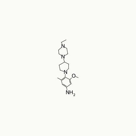 CCN1CCN(C2CCN(c3c(C)cc(N)cc3OC)CC2)CC1